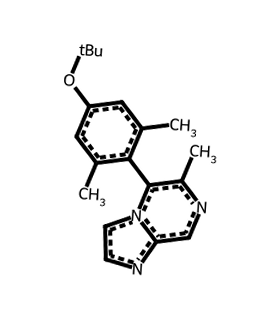 Cc1cc(OC(C)(C)C)cc(C)c1-c1c(C)ncc2nccn12